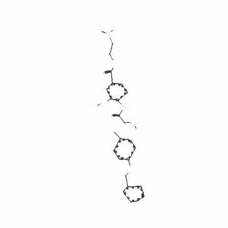 CCCCOc1cc(C(=O)OCCN(CC)CC)ccc1NC(=O)[C@@H](Cc1ccc(OCc2ccccc2)cc1)NCl